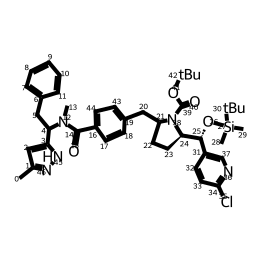 Cc1cc(C(Cc2ccccc2)N(C)C(=O)c2ccc(CC3CC[C@H]([C@H](O[Si](C)(C)C(C)(C)C)c4ccc(Cl)nc4)N3C(=O)OC(C)(C)C)cc2)[nH]n1